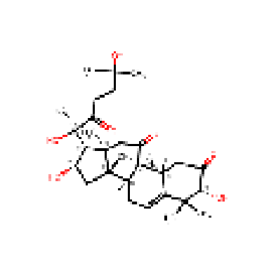 CC(C)(O)CCC(=O)[C@](C)(O)[C@H]1[C@H](O)C[C@@]2(C)[C@@H]3CC=C4[C@@H](CC(=O)[C@H](O)C4(C)C)[C@]3(C)C(=O)C[C@]12C